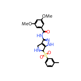 COc1cc(OC)cc(C(=O)Nc2n[nH]c3c2CNC3S(=O)(=O)c2cccc(C)c2)c1